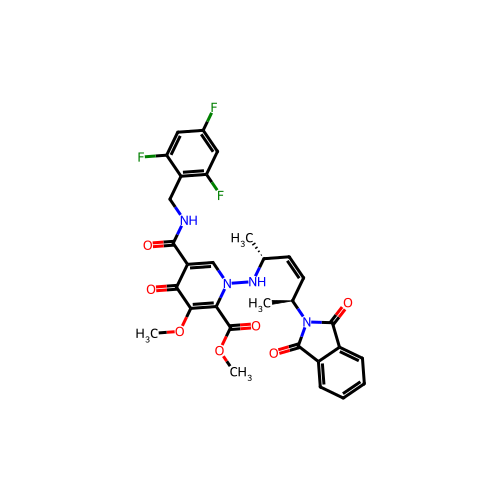 COC(=O)c1c(OC)c(=O)c(C(=O)NCc2c(F)cc(F)cc2F)cn1N[C@H](C)/C=C\[C@H](C)N1C(=O)c2ccccc2C1=O